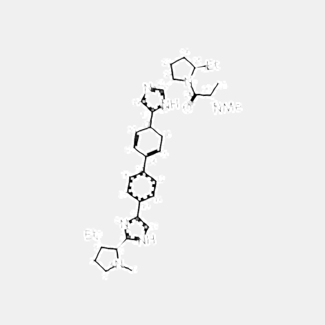 CC[C@H]1CCN(C)[C@@H]1c1nc(-c2ccc(C3=CCC(c4cnc([C@@H]5CC[C@@H](CC)N5C(=O)[C@H](C)NC)[nH]4)C=C3)cc2)c[nH]1